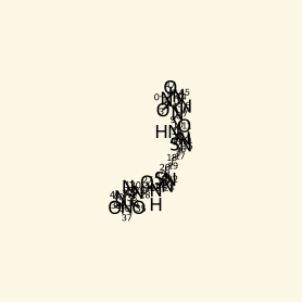 Cn1c(=O)c2c(ncn2CC(=O)Nc2nnc(CCCCc3nnc(NC(=O)Cn4cnc5c4c(=O)n(C)c(=O)n5C)s3)s2)n(C)c1=O